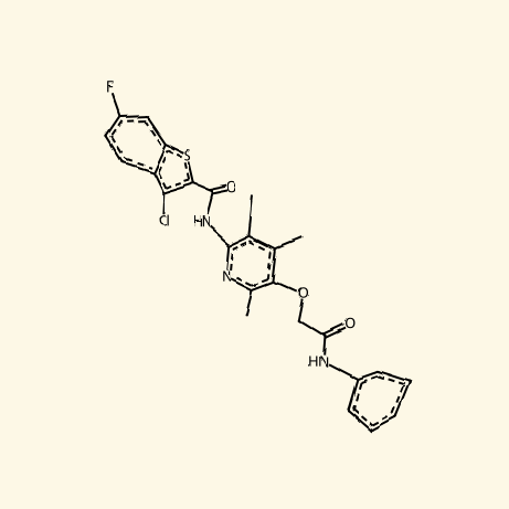 Cc1nc(NC(=O)c2sc3cc(F)ccc3c2Cl)c(C)c(C)c1OCC(=O)Nc1ccccc1